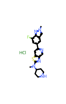 CN(c1nc2cnc(-c3cc(F)c4nn(C)cc4c3)cc2s1)C1CCNCC1.Cl